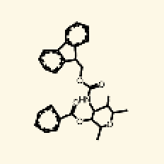 CC1OC(C)C(OC(=O)c2ccccc2)C(NC(=O)OCC2c3ccccc3-c3ccccc32)C1C